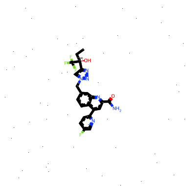 CC[C@@](O)(c1cn(Cc2ccc3c(-c4ccc(F)cn4)cc(C(N)=O)nc3c2)nn1)C(F)(F)F